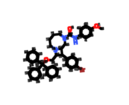 COc1ccc(NC(=O)N2CCCCN3C(COC(c4ccccc4)(c4ccccc4)c4ccccc4)C(c4ccc(Br)cc4)C3C2)cc1